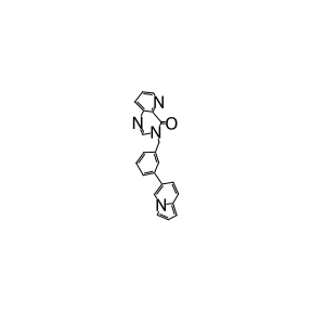 O=c1c2ncccc2ncn1Cc1cccc(-c2ccc3cccn3c2)c1